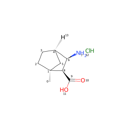 C[C@]12CC[C@H](C1)[C@@H](N)[C@H]2C(=O)O.Cl